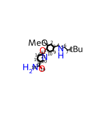 COc1cc(CNCCC(C)(C)C)ccc1Oc1ccc(C(N)=O)cn1